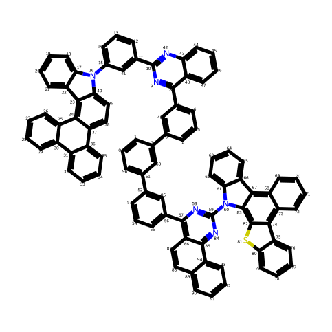 c1cc(-c2cccc(-c3nc(-c4cccc(-n5c6ccccc6c6c7c8ccccc8c8ccccc8c7ccc65)c4)nc4ccccc34)c2)cc(-c2cccc(-c3nc(-n4c5ccccc5c5c6ccccc6c6c7ccccc7sc6c54)nc4c3ccc3ccccc34)c2)c1